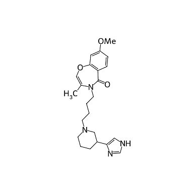 COc1ccc2c(c1)OC=C(C)N(CCCCN1CCCC(c3c[nH]cn3)C1)C2=O